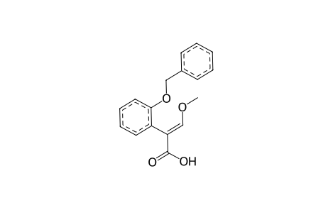 CO/C=C(/C(=O)O)c1ccccc1OCc1ccccc1